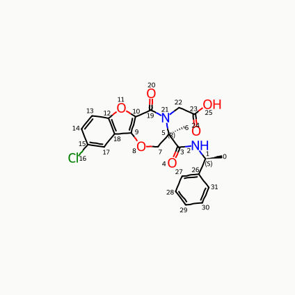 C[C@H](NC(=O)[C@@]1(C)COc2c(oc3ccc(Cl)cc23)C(=O)N1CC(=O)O)c1ccccc1